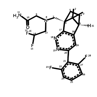 CC1(C)[C@H]2CC[C@]1(CN(CC(N)=O)CC(F)F)c1nnc(-c3c(F)cccc3F)cc12